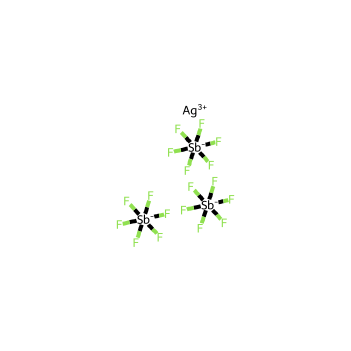 [Ag+3].[F][Sb-]([F])([F])([F])([F])[F].[F][Sb-]([F])([F])([F])([F])[F].[F][Sb-]([F])([F])([F])([F])[F]